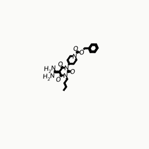 CCCCN1C(=O)C(=C(N)N)C(=O)N(C2CCN(C(=O)OCc3ccccc3)CC2)C1=O